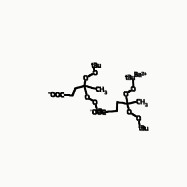 CC(C)(C)OOC(C)(CCC(=O)[O-])OOC(C)(C)C.CC(C)(C)OOC(C)(CCC(=O)[O-])OOC(C)(C)C.[Ba+2]